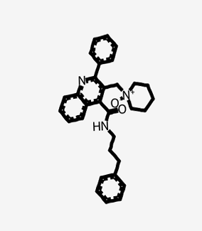 O=C(NCCCc1ccccc1)c1c(C[N+]2([O-])CCCCC2)c(-c2ccccc2)nc2ccccc12